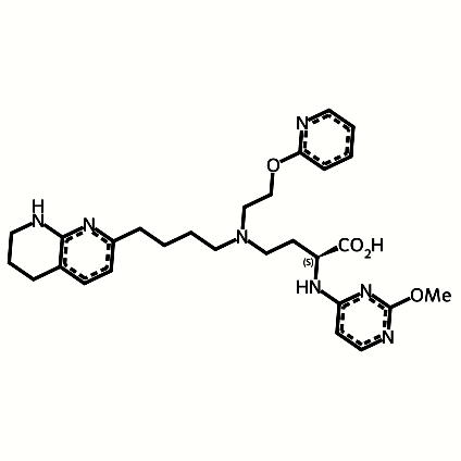 COc1nccc(N[C@@H](CCN(CCCCc2ccc3c(n2)NCCC3)CCOc2ccccn2)C(=O)O)n1